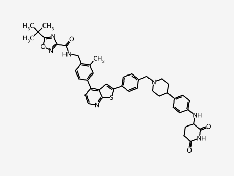 Cc1cc(-c2ccnc3sc(-c4ccc(CN5CCC(c6ccc(NC7CCC(=O)NC7=O)cc6)CC5)cc4)cc23)ccc1CNC(=O)c1noc(C(C)(C)C)n1